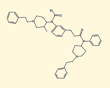 CCC(=O)N(c1cccc(CCC(=O)N(c2ccccc2)C2CCN(CCc3ccccc3)CC2)c1)C1CCN(CCc2ccccc2)CC1C